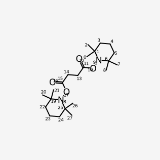 CC1(C)CCCC(C)(C)N1OC(=O)CCC(=O)ON1C(C)(C)CCCC1(C)C